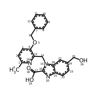 Cc1ccc(OCc2ccccc2)c(Cn2c(C(=O)O)nc3ccc(CO)cc32)n1